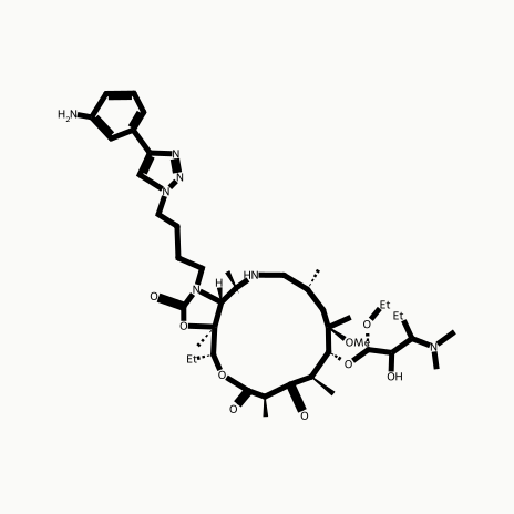 CCO[C@@H](O[C@@H]1[C@@H](C)C(=O)[C@@H](C)C(=O)O[C@H](CC)[C@@]2(C)OC(=O)N(CCCCn3cc(-c4cccc(N)c4)nn3)[C@@H]2[C@@H](C)NC[C@H](C)C[C@@]1(C)OC)C(O)C(CC)N(C)C